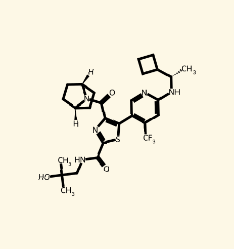 C[C@H](Nc1cc(C(F)(F)F)c(-c2sc(C(=O)NCC(C)(C)O)nc2C(=O)N2[C@H]3CC[C@@H]2CC3)cn1)C1CCC1